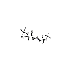 CC(C)(C)CC(C)(C)/C=N/NC(=O)C(C)(N)CC(C)(C)C